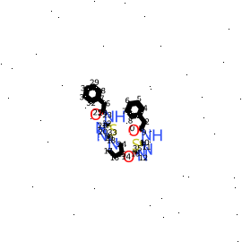 O=C(Cc1ccccc1)Nc1nnc(OC2CCN(c3nnc(NC(=O)Cc4ccccc4)s3)C2)s1